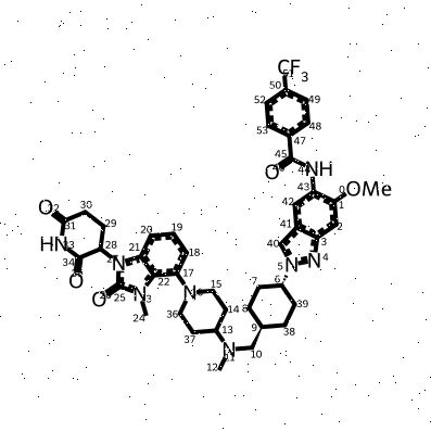 COc1cc2nn([C@H]3CC[C@H](CN(C)C4CCN(c5cccc6c5n(C)c(=O)n6C5CCC(=O)NC5=O)CC4)CC3)cc2cc1NC(=O)c1ccc(C(F)(F)F)cc1